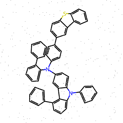 c1ccc(-c2ccccc2N(c2ccc(-c3ccc4sc5ccccc5c4c3)cc2)c2ccc3c(c2)c2c(-c4ccccc4)cccc2n3-c2ccccc2)cc1